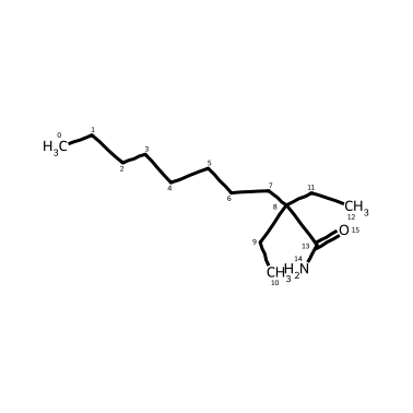 CCCCCCCCC(CC)(CC)C(N)=O